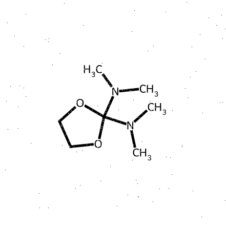 CN(C)C1(N(C)C)OCCO1